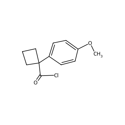 COc1ccc(C2(C(=O)Cl)CCC2)cc1